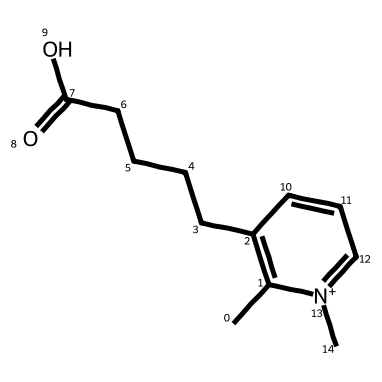 Cc1c(CCCCC(=O)O)ccc[n+]1C